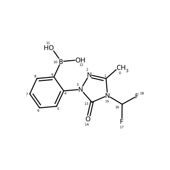 Cc1nn(-c2ccccc2B(O)O)c(=O)n1C(F)F